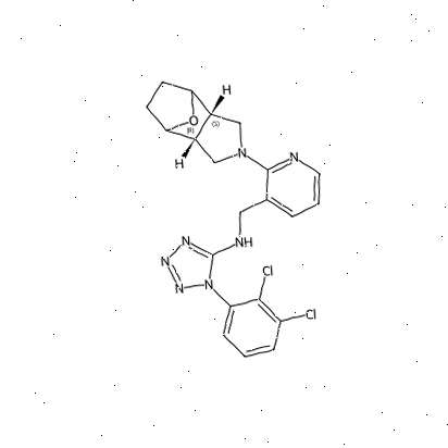 Clc1cccc(-n2nnnc2NCc2cccnc2N2C[C@@H]3C4CCC(O4)[C@@H]3C2)c1Cl